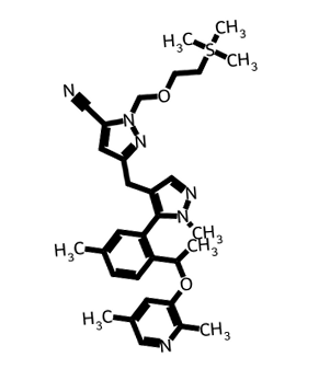 Cc1cnc(C)c(OC(C)c2ccc(C)cc2-c2c(Cc3cc(C#N)n(COCCS(C)(C)C)n3)cnn2C)c1